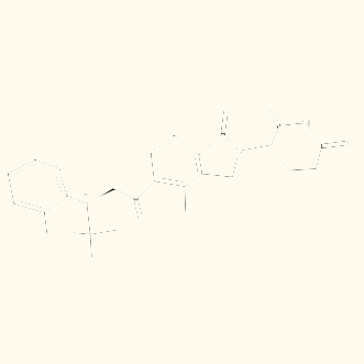 O=C1CCC(N2Cc3c(ccc(C(=O)C[C@H](c4ncccc4F)C(F)(F)F)c3F)C2=O)C(=O)N1